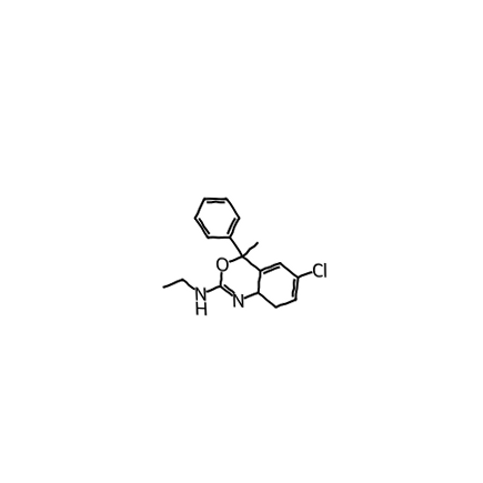 CCNC1=NC2CC=C(Cl)C=C2C(C)(c2ccccc2)O1